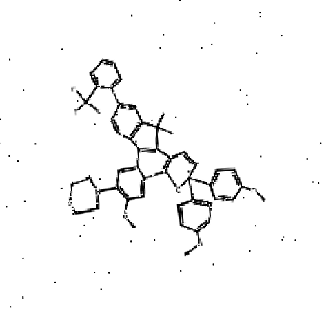 COc1ccc(C2(c3ccc(OC)cc3)C=Cc3c4c(c5cc(N6CCOCC6)c(OC)cc5c3O2)-c2ccc(-c3ccccc3C(F)(F)F)cc2C4(C)C)cc1